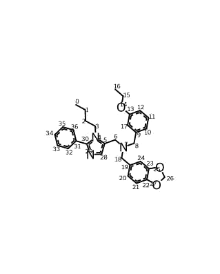 CCCCn1c(CN(Cc2cccc(OCC)c2)Cc2ccc3c(c2)OCO3)cnc1-c1ccccc1